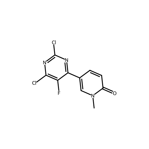 Cn1cc(-c2nc(Cl)nc(Cl)c2F)ccc1=O